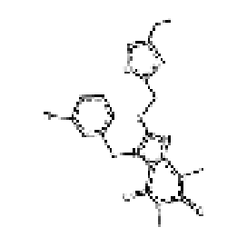 CCc1coc(CSc2nc3c(c(=O)n(C)c(=O)n3C)n2Cc2cccc(Cl)c2)n1